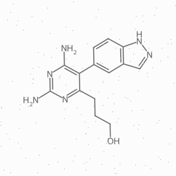 Nc1nc(N)c(-c2ccc3[nH]ncc3c2)c(CCCO)n1